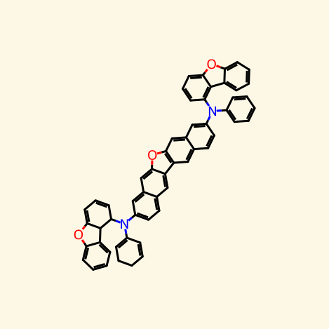 C1=CC(N(C2=CCCC=C2)c2ccc3cc4c(cc3c2)oc2cc3cc(N(c5ccccc5)c5cccc6oc7ccccc7c56)ccc3cc24)C2C(=C1)Oc1ccccc12